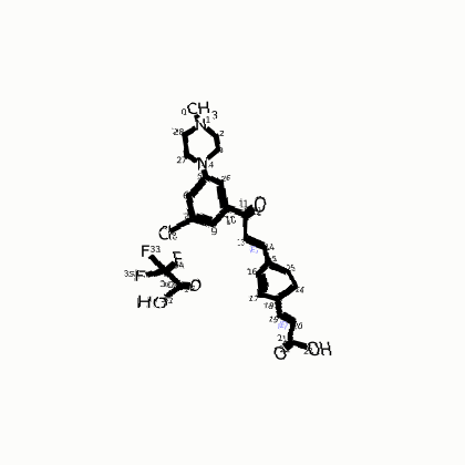 CN1CCN(c2cc(Cl)cc(C(=O)/C=C/c3ccc(/C=C/C(=O)O)cc3)c2)CC1.O=C(O)C(F)(F)F